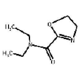 CCN(CC)C(=O)C1=NCCO1